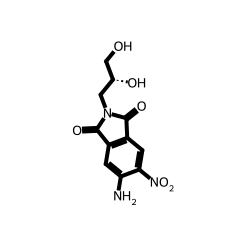 Nc1cc2c(cc1[N+](=O)[O-])C(=O)N(C[C@@H](O)CO)C2=O